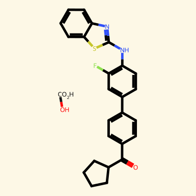 O=C(O)O.O=C(c1ccc(-c2ccc(Nc3nc4ccccc4s3)c(F)c2)cc1)C1CCCC1